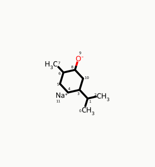 CC(C)C1CCC(C)C([O-])C1.[Na+]